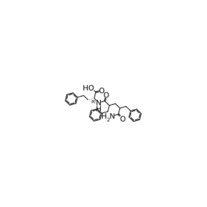 NC(=O)C(Cc1ccccc1)CC(Cc1ccccc1)C(=O)N[C@H](CCc1ccccc1)C(=O)O